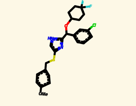 COc1ccc(CSc2c[nH]c(C(OC3CCC(F)(F)CC3)c3cccc(Cl)c3)n2)cc1